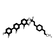 CCCC1CCC(CCC(F)(F)Oc2ccc(-c3ccc(-c4ccc(F)c(F)c4)c(F)c3)c(F)c2F)CC1